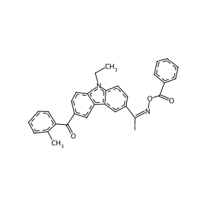 CCn1c2ccc(C(=O)c3ccccc3C)cc2c2cc(/C(I)=N\OC(=O)c3ccccc3)ccc21